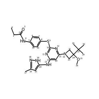 CCC(=O)Nc1ccc(Sc2nc(Nc3cc(C)n[nH]3)cc(N3CC(OC)(C(C)(C)C)C3)n2)cc1